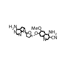 COc1cc2c(N)c(C#N)cnc2cc1OC[C@@H]1CC[C@H](n2ccc3c(N)ncnc32)O1